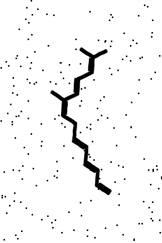 C=CC=CC=CCC=C(C)C=CC=C(C)C